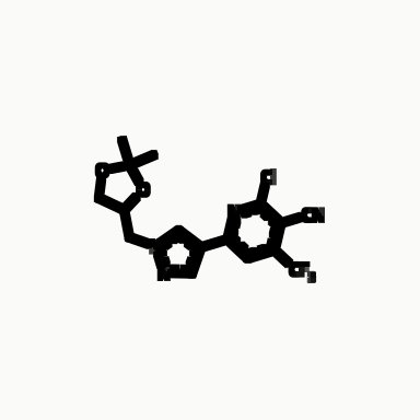 CC1(C)OCC(Cn2cc(-c3cc(C(F)(F)F)c(C#N)c(Cl)n3)cn2)O1